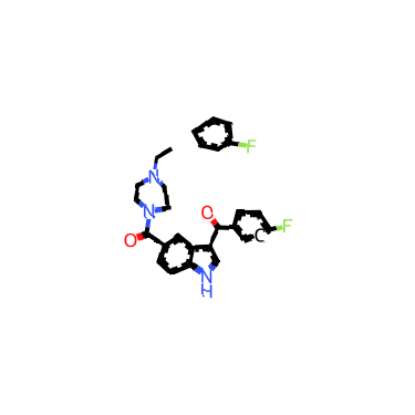 CCN1CCN(C(=O)c2ccc3[nH]cc(C(=O)c4ccc(F)cc4)c3c2)CC1.Fc1ccccc1